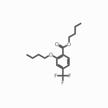 CCCCOC(=O)c1ccc(C(F)(F)F)cc1OCCCC